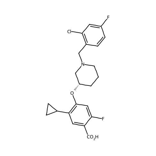 O=C(O)c1cc(C2CC2)c(O[C@H]2CCCN(Cc3ccc(F)cc3Cl)C2)cc1F